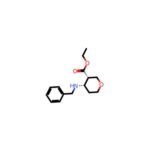 CCOC(=O)[C@@H]1COCC[C@@H]1NCc1ccccc1